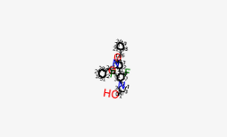 OC[C@@H]1CCN(c2cc(F)c(-c3ccc(OCc4ccccc4)nc3OCc3ccccc3)c(F)c2)C1